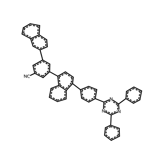 N#Cc1cc(-c2ccc3ccccc3c2)cc(-c2ccc(-c3ccc(-c4nc(-c5ccccc5)nc(-c5ccccc5)n4)cc3)c3ccccc23)c1